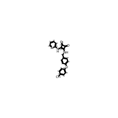 O=c1c(NCc2ccc(Oc3ccc(Cl)cc3)cc2)c(Nc2ccccn2)c1=O